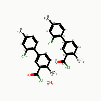 O.O=C(Cl)c1cc(-c2ccc(C(F)(F)F)cc2Cl)ccc1[N+](=O)[O-].O=C(Cl)c1cc(-c2ccc(C(F)(F)F)cc2Cl)ccc1[N+](=O)[O-]